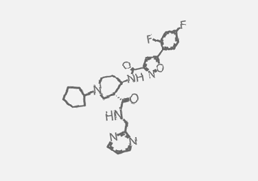 O=C(N[C@@H]1CCN(C2CCCCC2)C[C@H]1C(=O)NCc1ncccn1)c1cc(-c2ccc(F)cc2F)on1